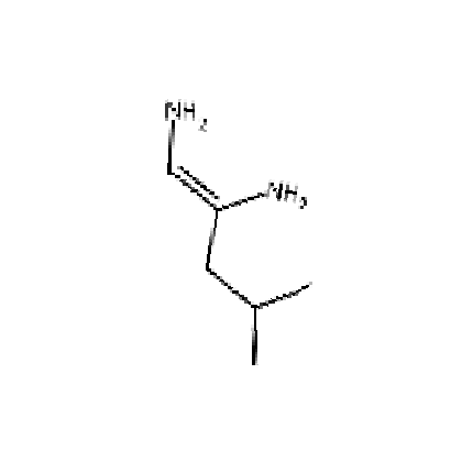 CC(C)C/C(N)=C/N